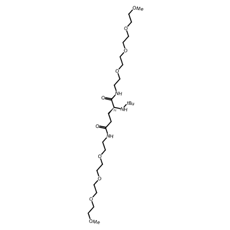 COCCOCCOCCOCCNC(=O)CC[C@H](NC(C)(C)C)C(=O)NCCOCCOCCOCCOC